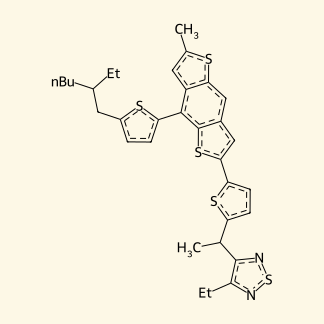 CCCCC(CC)Cc1ccc(-c2c3cc(C)sc3cc3cc(-c4ccc(C(C)c5nsnc5CC)s4)sc23)s1